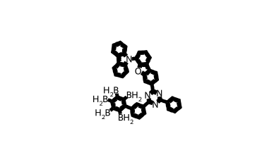 Bc1c(B)c(B)c(-c2cccc(-c3nc(-c4ccccc4)nc(-c4ccc5c(c4)oc4c(-n6c7ccccc7c7ccccc76)cccc45)n3)c2)c(B)c1B